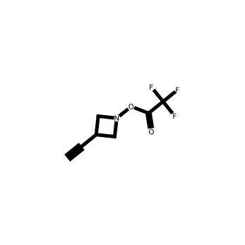 C#CC1CN(OC(=O)C(F)(F)F)C1